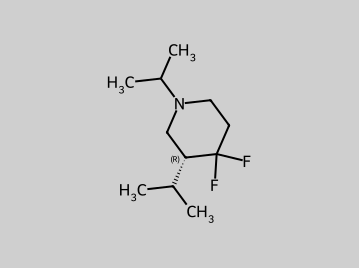 CC(C)[C@@H]1CN(C(C)C)CCC1(F)F